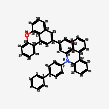 c1ccc(-c2ccc(N(c3cccc(-c4cc5c6c(cccc6c4)Oc4ccccc4-5)c3)c3ccccc3-c3ccccc3)cc2)cc1